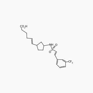 O=C(O)CCCC=CC1CCC(NS(=O)(=O)C=Cc2cccc(C(F)(F)F)c2)C1